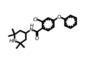 CC1(C)CC(NC(=O)c2ccc(Oc3ccccc3)cc2Cl)CC(C)(C)N1